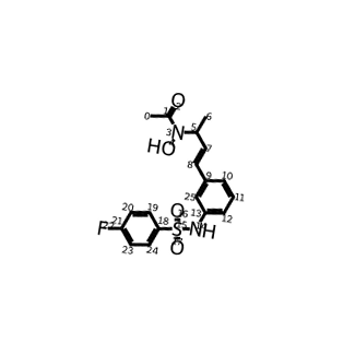 CC(=O)N(O)C(C)C=Cc1cccc(NS(=O)(=O)c2ccc(F)cc2)c1